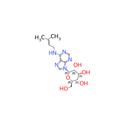 CC(C)=CCNc1ncnc2c1ncn2[C@@H]1O[C@H](CO)[C@@H](O)[C@H](O)[C@H]1O